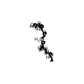 CN(CCN1CCO[C@@H](CCNc2cccc3c2CN(C2CCC(=O)NC2=O)C3=O)C1)C[C@H]1CC[C@H](n2cc(NC(=O)c3coc(-c4ccnc(NCC5CC5)c4)n3)c(C(F)F)n2)CC1